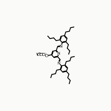 CCCCc1cc(CCCC)c(N=Cc2cc(Cl)cc(C=Nc3c(CCCC)cc(CCCC)cc3CCCC)n2)c(CCCC)c1.[Cl-].[Cl-].[Cl-].[V+3]